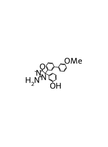 COc1cccc(-c2cccc(C3(c4cccc(O)c4)N=C(N)N(C)C3=O)c2)c1